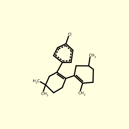 CC1=C(C2=C(c3ccc(Cl)cc3)CC(C)(C)CC2)CC(C)CC1